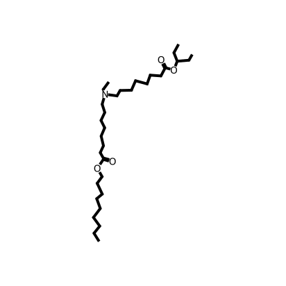 CCCCCCCCCOC(=O)CCCCCCCN(CC)CCCCCCCC(=O)OC(CC)CC